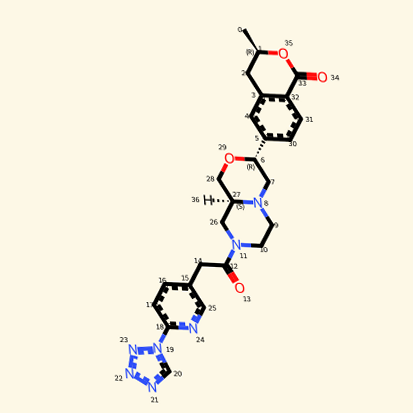 C[C@@H]1Cc2cc([C@@H]3CN4CCN(C(=O)Cc5ccc(-n6cnnn6)nc5)C[C@H]4CO3)ccc2C(=O)O1